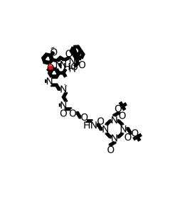 COc1cccc(OC)c1-c1cc(C(=O)NC2(C(=O)O)C3CC4CC(C3)CC2C4)nn1-c1ccc(N(C)CCCN(C)CCCN(C)C(=O)COCCOCCNC(=O)CN2CCN(CC=O)CCN(CC(=O)OC(C)(C)C)CCN(CC(=O)OC(C)(C)C)CC2)cc1C(C)C